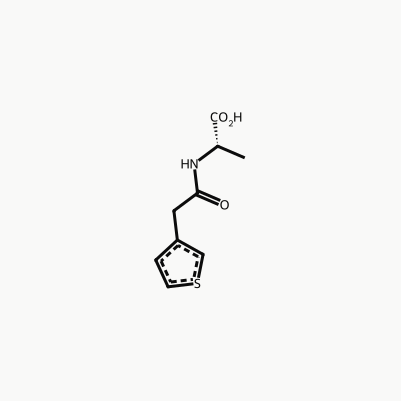 C[C@H](NC(=O)Cc1ccsc1)C(=O)O